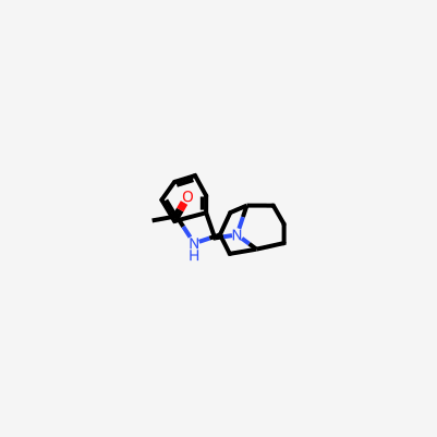 CC(=O)NC1CC2CCCC(C1)N2Cc1ccccc1